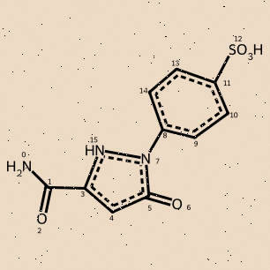 NC(=O)c1cc(=O)n(-c2ccc(S(=O)(=O)O)cc2)[nH]1